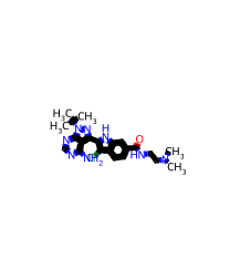 CN(C)CCNC(=O)c1ccc2c(Cl)c(-c3nn(C(C)(C)C)c4ncnc(N)c34)[nH]c2c1